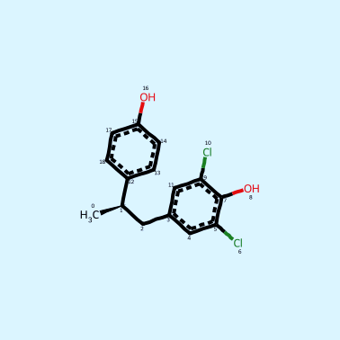 C[C@H](Cc1cc(Cl)c(O)c(Cl)c1)c1ccc(O)cc1